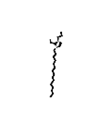 CCCCCCCCCCCCCCCN1C=CN(CCC)C1CC